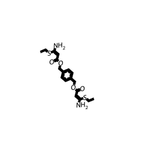 CCSC(N)=CC(=O)OCc1ccc(COC(=O)C=C(N)SCC)cc1